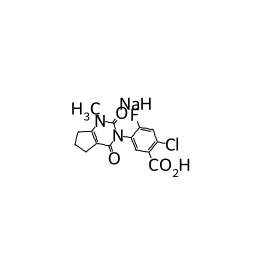 Cn1c2c(c(=O)n(-c3cc(C(=O)O)c(Cl)cc3F)c1=O)CCC2.[NaH]